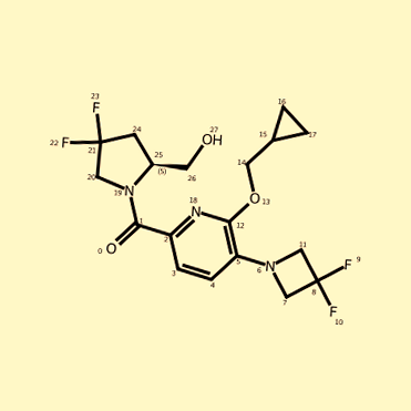 O=C(c1ccc(N2CC(F)(F)C2)c(OCC2CC2)n1)N1CC(F)(F)C[C@H]1CO